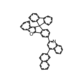 c1ccc2c(c1)-c1ccccc1C21c2ccc(-c3cc(-c4ccc5ccccc5c4)c4ccccc4n3)cc2-c2oc3ccccc3c21